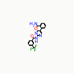 NC(=O)c1ccccc1-c1cnc(NC(=O)c2cccc(C(F)(F)F)c2)nc1